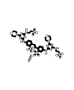 O=S(=O)([O-])CCNc1nc(Nc2ccc(C=Cc3ccc(Nc4nc(NCCS(=O)(=O)[O-])nc(N5CCOCC5)n4)cc3S(=O)(=O)[O-])c(S(=O)(=O)[O-])c2)nc(N2CCOCC2)n1.[K+].[K+].[K+].[K+]